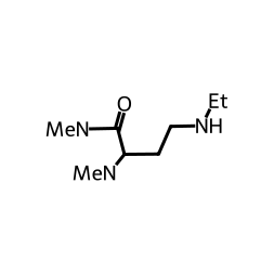 CCNCCC(NC)C(=O)NC